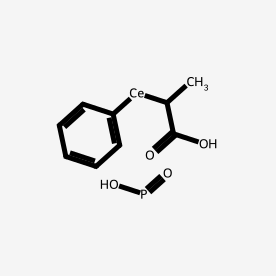 C[CH]([Ce][c]1ccccc1)C(=O)O.O=PO